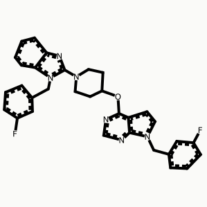 Fc1cccc(Cn2ccc3c(OC4CCN(c5nc6ccccc6n5Cc5cccc(F)c5)CC4)ncnc32)c1